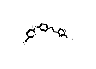 N#Cc1ccc(Nc2ccc(CCC3COC(N)=N3)cc2)nc1